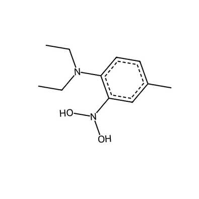 CCN(CC)c1ccc(C)cc1N(O)O